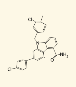 Cc1ccc(Cn2c3cc(-c4ccc(Cl)cc4)c[c]c3c3c(C(N)=O)cccc32)cc1Cl